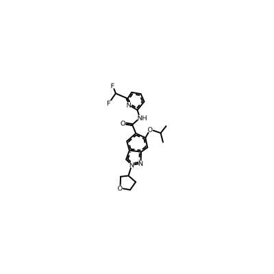 CC(C)Oc1cc2nn(C3CCOC3)cc2cc1C(=O)Nc1cccc(C(F)F)n1